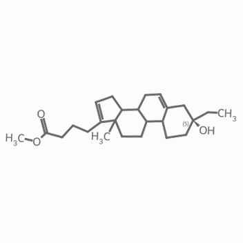 CC[C@]1(O)CCC2C(=CCC3C2CCC2(C)C(CCCC(=O)OC)=CCC32)C1